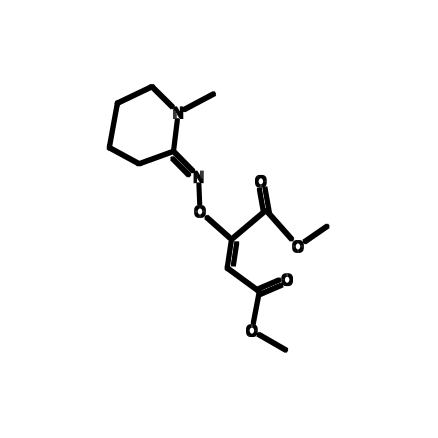 COC(=O)C=C(ON=C1CCCCN1C)C(=O)OC